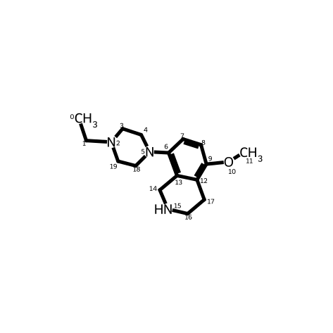 CCN1CCN(c2ccc(OC)c3c2CNCC3)CC1